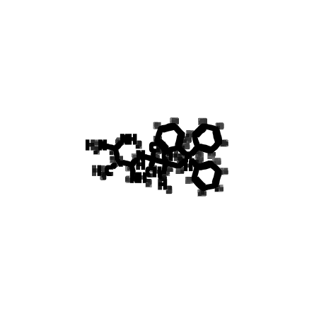 CN(C(N)N)C(N)NC(C)(C)C(C)(C)C[PH](c1ccccc1)(c1ccccc1)c1ccccc1